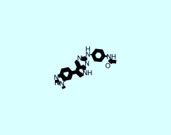 CC(=O)N[C@H]1CC[C@H](Nc2ncc3c(-c4ccc5nnn(C)c5c4)c[nH]c3n2)CC1